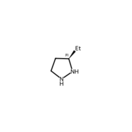 CC[C@@H]1CCNN1